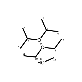 CC(C)OC(C)C.CCOCC.CO